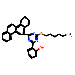 CCCCCCSc1nc(-c2ccccc2O)nc(-c2cc3c(ccc4ccccc43)c3c2C=CCC3)n1